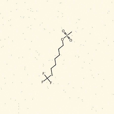 CS(=O)(=O)OCCCCCCSC(F)(F)F